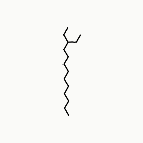 CCCCCCC[CH]CCC(CC)CC